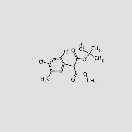 COC(=O)C(C(=O)OC(C)(C)C)c1cc(C)c(Cl)cc1Cl